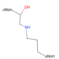 [CH2]CCCCCCCCC(O)CNCCCCCCCCCCCC